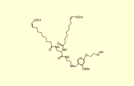 CCCCCCCC/C=C\CCCCCCCC(=O)NCC(NC(=O)CCCCCCC/C=C\CCCCCCCC)C(=O)NCC/N=C\c1ccc(OCCOCCC)cc1OC